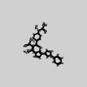 CC(=O)c1c(C2CCC([C@H](F)C(=O)O)CC2)nc2c(-c3cnn(-c4ccccc4)c3)cnn2c1N